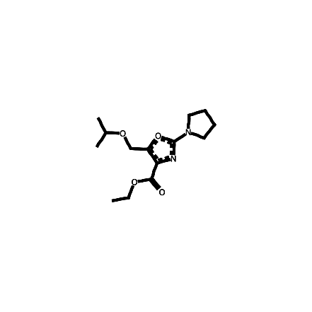 CCOC(=O)c1nc(N2CCCC2)oc1COC(C)C